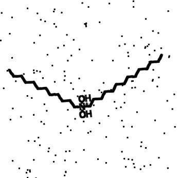 CCCCCCCCCCCCCC[N+](O)(O)CCCCCCCCCCCC